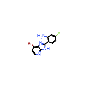 Nc1cc(F)ccc1-c1nc2c(Br)ccnc2[nH]1